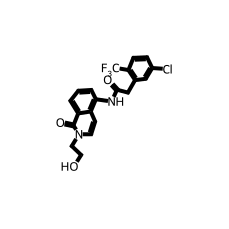 O=C(Cc1cc(Cl)ccc1C(F)(F)F)Nc1cccc2c(=O)n(CCO)ccc12